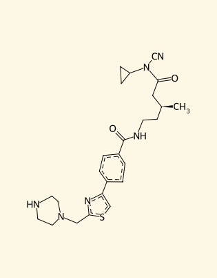 C[C@@H](CCNC(=O)c1ccc(-c2csc(CN3CCNCC3)n2)cc1)CC(=O)N(C#N)C1CC1